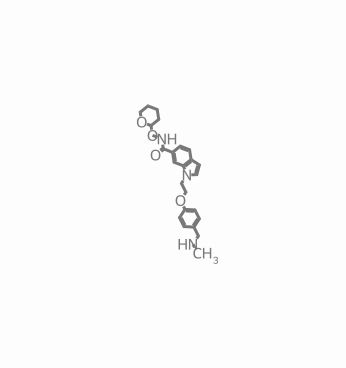 CNCc1ccc(OCCn2ccc3ccc(C(=O)NOC4CCCCO4)cc32)cc1